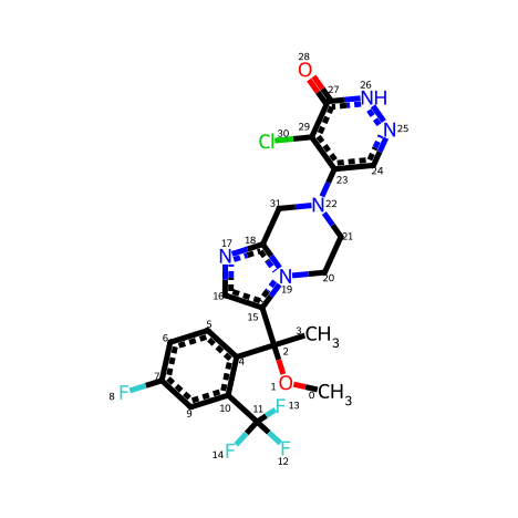 COC(C)(c1ccc(F)cc1C(F)(F)F)c1cnc2n1CCN(c1cn[nH]c(=O)c1Cl)C2